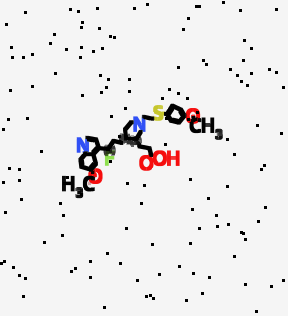 COc1ccc(SCCN2CC[C@@H](CC[C@@H](F)c3ccnc4ccc(OC)cc34)[C@H](CCC(=O)O)C2)cc1